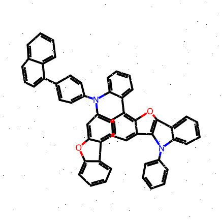 c1ccc(-n2c3ccccc3c3oc4c(-c5ccccc5N(c5ccc(-c6cccc7ccccc67)cc5)c5ccc6c(c5)oc5ccccc56)cccc4c32)cc1